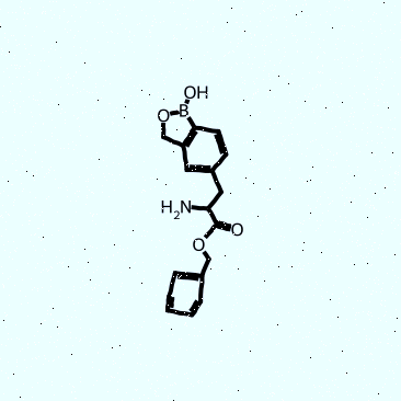 NC(Cc1ccc2c(c1)COB2O)C(=O)OCc1ccccc1